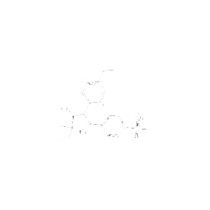 CCc1ccc(C2=C(c3ccc(S(C)(=O)=O)cc3)OC(C)(C)C2=O)cc1